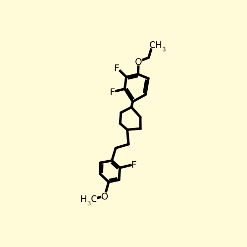 CCOc1ccc(C2CCC(CCc3ccc(OC)cc3F)CC2)c(F)c1F